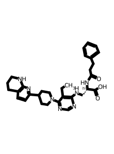 CCc1c(NC[C@H](NC(=O)CCc2ccccc2)C(=O)O)ncnc1N1CCC(c2ccc3c(n2)NCCC3)CC1